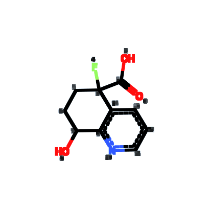 O=C(O)C1(F)CCC(O)c2ncccc21